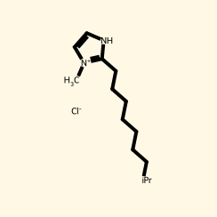 CC(C)CCCCCCCc1[nH]cc[n+]1C.[Cl-]